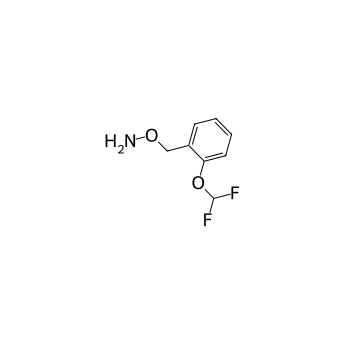 NOCc1ccccc1OC(F)F